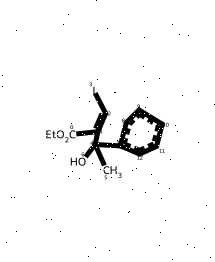 CCOC(=O)C(=CI)C(C)(O)c1ccccc1